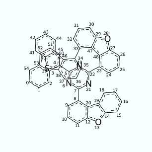 c1ccc2c(-c3nc(-c4cccc5oc6ccccc6c45)nc(-c4cccc5oc6cccc(-c7cccc8sc9ccccc9c78)c6c45)n3)cccc2c1